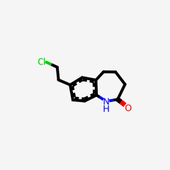 O=C1CCCc2cc(CCCl)ccc2N1